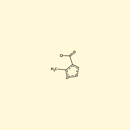 Cc1occc1C(=O)Cl